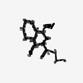 C=C(CCC)n1nc(O)c2ccccc2c1=O